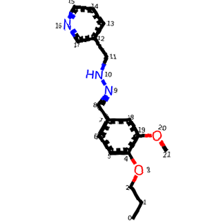 CCCOc1ccc(/C=N/NCc2cccnc2)cc1OC